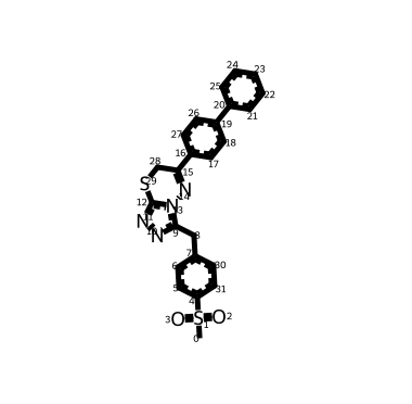 CS(=O)(=O)c1ccc(Cc2nnc3n2N=C(c2ccc(-c4ccccc4)cc2)CS3)cc1